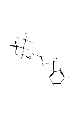 O=C(OCCOC(C(F)(F)F)(C(F)(F)F)C(F)(F)F)c1ccccc1